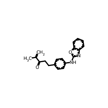 C=C(C)C(=O)CCc1ccc(Nc2nc3ccccc3o2)cc1